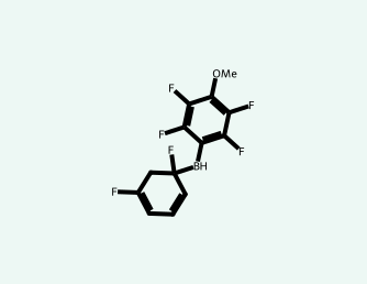 COc1c(F)c(F)c(BC2(F)C=CC=C(F)C2)c(F)c1F